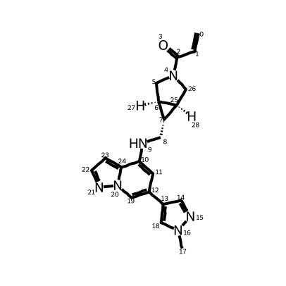 C=CC(=O)N1C[C@@H]2[C@@H](CNc3cc(-c4cnn(C)c4)cn4nccc34)[C@@H]2C1